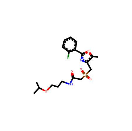 Cc1oc(-c2ccccc2Cl)nc1CS(=O)(=O)CC(=O)NCCCOC(C)C